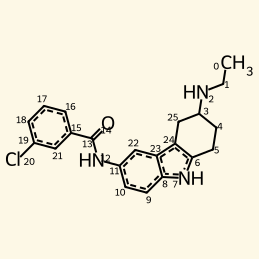 CCNC1CCc2[nH]c3ccc(NC(=O)c4cccc(Cl)c4)cc3c2C1